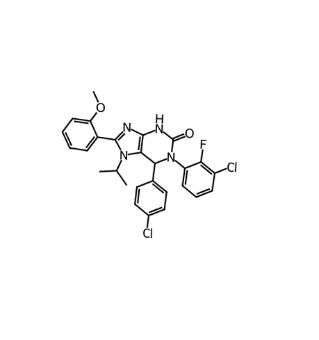 COc1ccccc1-c1nc2c(n1C(C)C)C(c1ccc(Cl)cc1)N(c1cccc(Cl)c1F)C(=O)N2